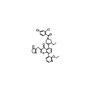 CCOc1ncccc1-c1ccc(N2CCN(C(=O)c3ccc(Cl)cc3Cl)C[C@H]2CC)c(C(=O)NCC2=NCCN2)c1F